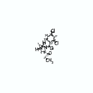 CCC(=O)[C@@H]1C[C@@H]2C[C@@H]2N1C(=O)c1ccc(Cl)cc1Cl